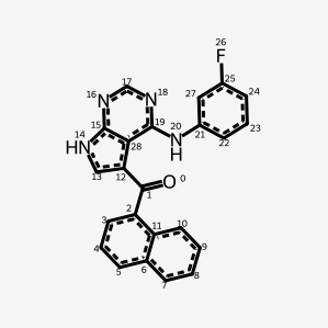 O=C(c1cccc2ccccc12)c1c[nH]c2ncnc(Nc3cccc(F)c3)c12